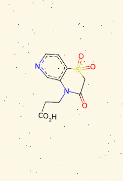 O=C(O)CCN1C(=O)CS(=O)(=O)c2ccncc21